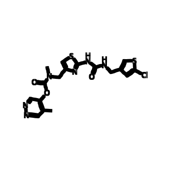 Cc1cnncc1OC(=O)N(C)Cc1csc(NC(=O)NCc2csc(Cl)c2)n1